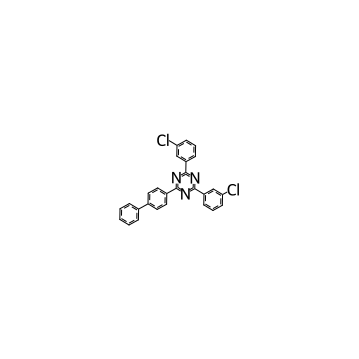 Clc1cccc(-c2nc(-c3ccc(-c4ccccc4)cc3)nc(-c3cccc(Cl)c3)n2)c1